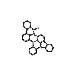 O=c1c2ccccc2c2cccc3c2n1c1ccc2c4ccccc4n4c5ccccc5n3-c1c24